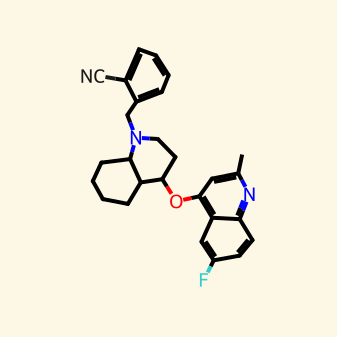 Cc1cc(OC2CCN(Cc3ccccc3C#N)C3CCCCC23)c2cc(F)ccc2n1